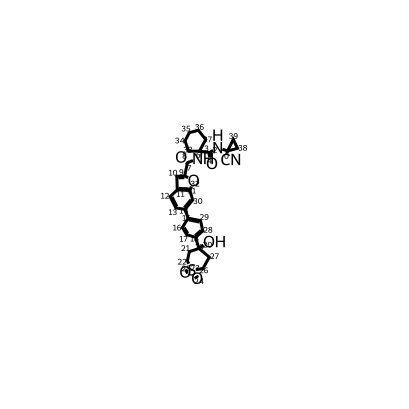 N#CC1(NC(=O)C2(NC(=O)c3cc4ccc(-c5ccc(C6(O)CCS(=O)(=O)CC6)cc5)cc4o3)CCCCC2)CC1